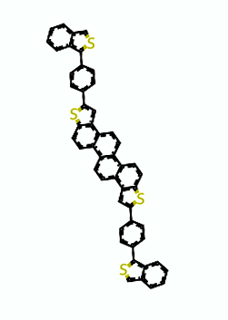 c1ccc2c(-c3ccc(-c4cc5c(ccc6c5ccc5c7ccc8sc(-c9ccc(-c%10scc%11ccccc%10%11)cc9)cc8c7ccc65)s4)cc3)scc2c1